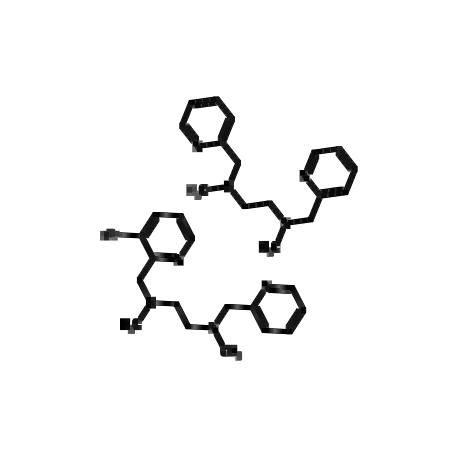 CCCc1cccnc1CN(C)CCN(C)Cc1ccccn1.CN(CCN(C)Cc1ccccn1)Cc1ccccn1